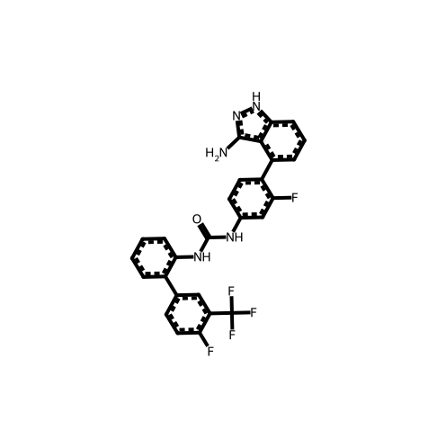 Nc1n[nH]c2cccc(-c3ccc(NC(=O)Nc4ccccc4-c4ccc(F)c(C(F)(F)F)c4)cc3F)c12